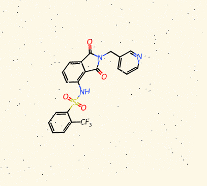 O=C1c2cccc(NS(=O)(=O)c3ccccc3C(F)(F)F)c2C(=O)N1Cc1cccnc1